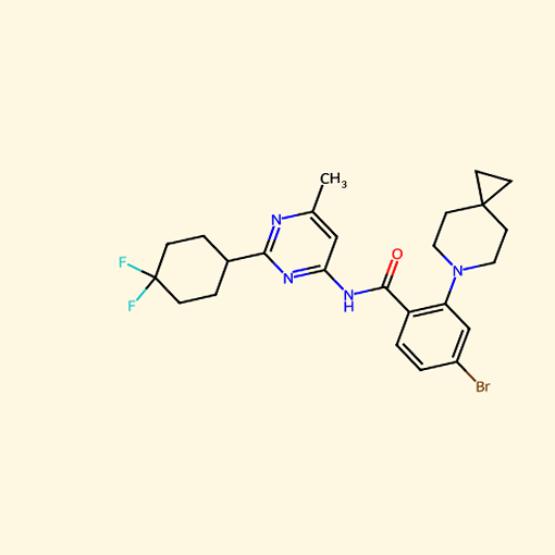 Cc1cc(NC(=O)c2ccc(Br)cc2N2CCC3(CC2)CC3)nc(C2CCC(F)(F)CC2)n1